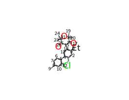 CCc1ccc(-c2ccc(C)cc2Cl)cc1C1C(=O)C(C)(C)OC(C)(C)C1=O